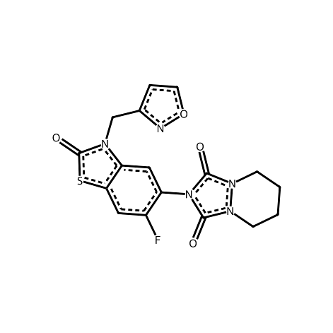 O=c1sc2cc(F)c(-n3c(=O)n4n(c3=O)CCCC4)cc2n1Cc1ccon1